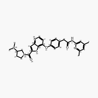 Cc1cc(C)nc(NC(=O)Cc2ccc(Oc3ccnc4cc(C(=O)N5CCC(N(C)C)C5)sc34)cc2)c1